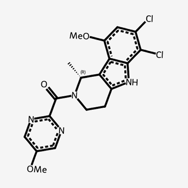 COc1cnc(C(=O)N2CCc3[nH]c4c(Cl)c(Cl)cc(OC)c4c3[C@H]2C)nc1